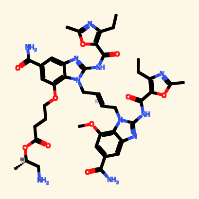 CCc1nc(C)oc1C(=O)Nc1nc2cc(C(N)=O)cc(OC)c2n1C/C=C/Cn1c(NC(=O)c2oc(C)nc2CC)nc2cc(C(N)=O)cc(OCCCC(=O)O[C@@H](C)CN)c21